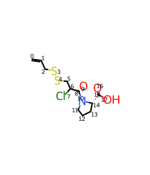 C=CCSSCC(Cl)C(=O)N1CCC[C@H]1C(=O)O